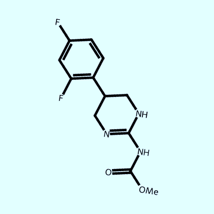 COC(=O)NC1=NCC(c2ccc(F)cc2F)CN1